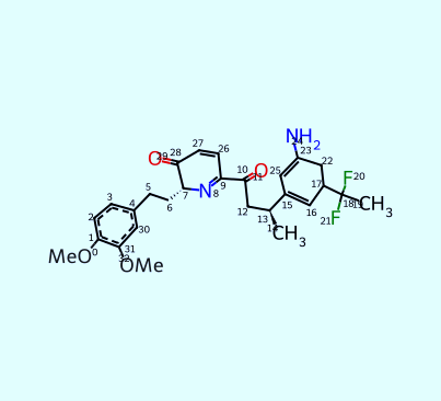 COc1ccc(CC[C@H]2N=C(C(=O)C[C@H](C)C3=CC(C(C)(F)F)CC(N)=C3)C=CC2=O)cc1OC